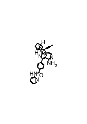 CC#CC(=O)N1[C@H]2CC[C@@H]1[C@@H](c1nc(-c3ccc(C(=O)Nc4ccccn4)cc3)c3c(N)nccn13)C2